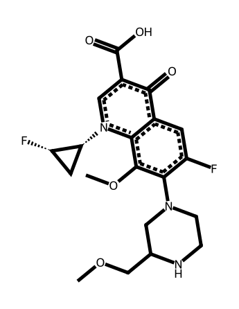 COCC1CN(c2c(F)cc3c(=O)c(C(=O)O)cn([C@@H]4C[C@@H]4F)c3c2OC)CCN1